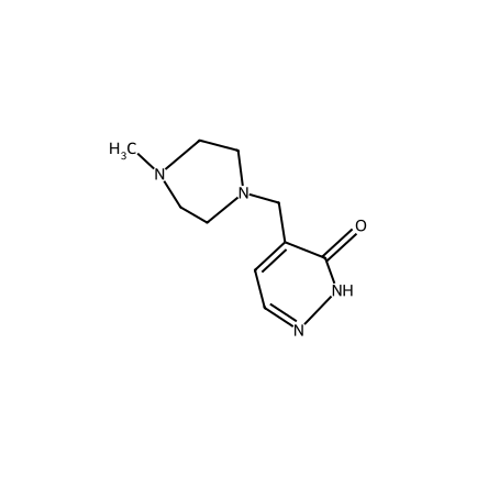 CN1CCN(Cc2ccn[nH]c2=O)CC1